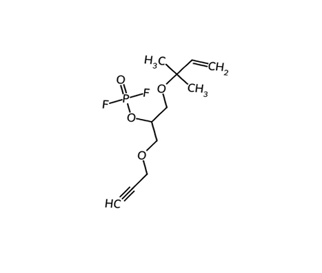 C#CCOCC(COC(C)(C)C=C)OP(=O)(F)F